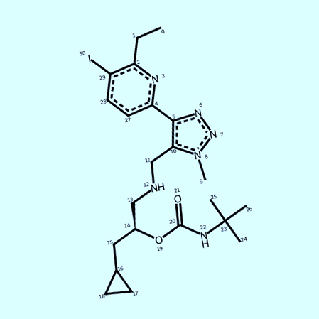 CCc1nc(-c2nnn(C)c2CNC[C@H](CC2CC2)OC(=O)NC(C)(C)C)ccc1I